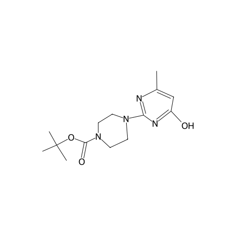 Cc1cc(O)nc(N2CCN(C(=O)OC(C)(C)C)CC2)n1